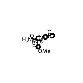 COc1ccc(-n2nc(C(N)=O)c3c2C(=O)N(c2ccc(N4CCCCC4=O)cc2)CC3)c(F)c1